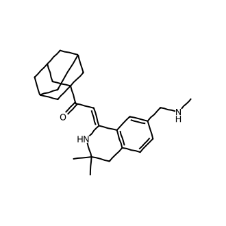 CNCc1ccc2c(c1)/C(=C/C(=O)C13CC4CC(CC(C4)C1)C3)NC(C)(C)C2